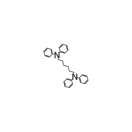 c1ccc(N(CCCCCCN(c2ccccc2)c2ccccc2)c2ccccc2)cc1